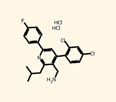 CC(C)Cc1nc(-c2ccc(F)cc2)cc(-c2ccc(Cl)cc2Cl)c1CN.Cl.Cl